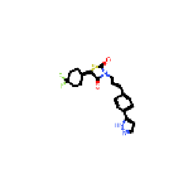 O=C1SC(=C2CCC(F)(F)CC2)C(=O)N1CC=Cc1ccc(-c2ccn[nH]2)cc1